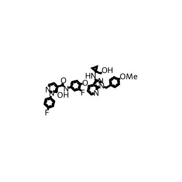 COc1ccc(Cn2nc(NC3(CO)CC3)c3c(Oc4ccc(NC(=O)c5ccnn(-c6ccc(F)cc6)c5=O)cc4F)ccnc32)cc1